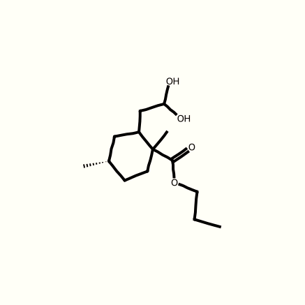 CCCOC(=O)C1(C)CC[C@H](C)CC1CC(O)O